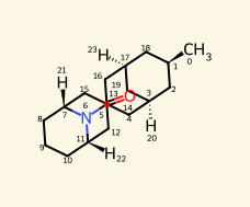 C[C@H]1C[C@H]2CC(N3[C@@H]4CCC[C@H]3CC(=O)C4)C[C@@H](C1)C2